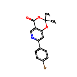 CC1(C)OC(=O)c2cnc(-c3ccc(Br)cc3)cc2O1